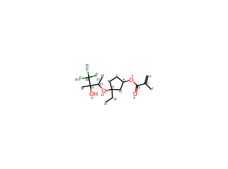 C=C(C)C(=O)OC1CCC(CC)(OC(C)C(C)(O)C(F)(F)F)C1